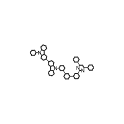 c1ccc(-c2cc(-c3ccccc3)nc(-c3cccc(-c4cccc(-c5cccc(-n6c7ccccc7c7cc(-c8ccc9c(c8)c8ccccc8n9-c8ccccc8)ccc76)c5)c4)c3)n2)cc1